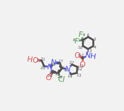 O=C(N[C@@H]1CCCC(F)(F)C1)O[C@@H]1CCN(c2cnn(CCO)c(=O)c2Cl)C1